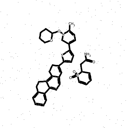 CC1=CC=C(c2ccc(C3=Cc4ccc5c(c4CC3)CCc3ccccc3-5)s2)CN1OC1CCCCO1.NC(=O)CC1C=CC=CS1(=O)=O